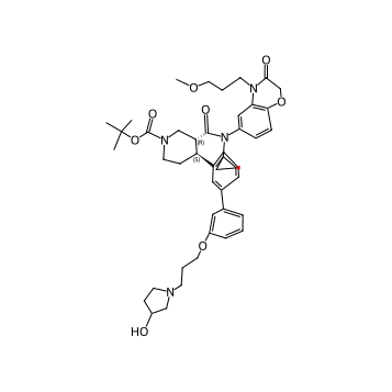 COCCCN1C(=O)COc2ccc(N(C(=O)[C@H]3CN(C(=O)OC(C)(C)C)CC[C@@H]3c3cccc(-c4cccc(OCCCN5CCC(O)C5)c4)c3)C3CC3)cc21